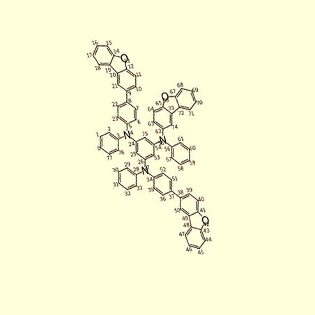 c1ccc(N(c2ccc(-c3ccc4oc5ccccc5c4c3)cc2)c2cc(N(c3ccccc3)c3ccc(-c4ccc5oc6ccccc6c5c4)cc3)cc(N(c3ccccc3)c3ccc4oc5ccccc5c4c3)c2)cc1